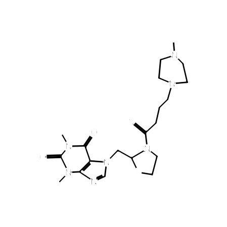 CN1CCN(CCCC(=S)N2CCSC2Cn2cnc3c2c(=O)n(C)c(=O)n3C)CC1